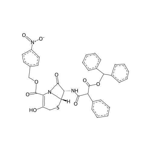 O=C(OCc1ccc([N+](=O)[O-])cc1)C1=C(O)CS[C@H]2[C@@H](NC(=O)C(C(=O)OC(c3ccccc3)c3ccccc3)c3ccccc3)C(=O)N12